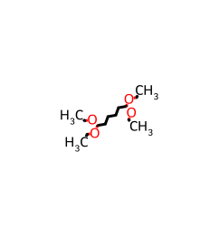 CCOC(CCCCC(OCC)OCC)OCC